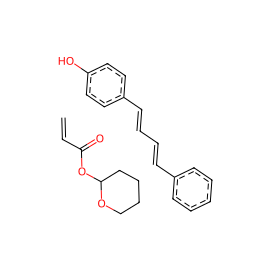 C=CC(=O)OC1CCCCO1.Oc1ccc(C=CC=Cc2ccccc2)cc1